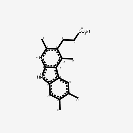 CCOC(=O)CCc1c(C)nc2[nH]c3cc(C)c(C)cc3c2c1C